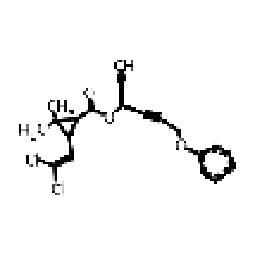 C#CC(C#CCOc1ccccc1)OC(=O)C1C(C=C(Cl)Cl)C1(C)C